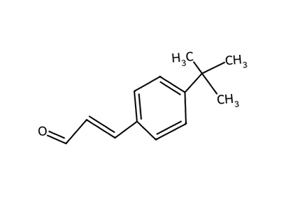 CC(C)(C)c1ccc(C=CC=O)cc1